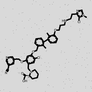 Cc1c(COc2cc(OCc3cncc(C#N)c3)c(CN3CCCC[C@H]3C(=O)O)cc2Cl)cccc1-c1cccc(OCCCNCCc2ncn(C)c2Cl)c1C